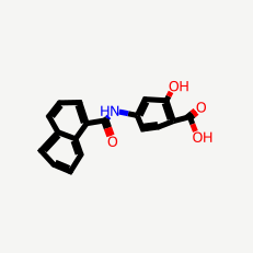 O=C(O)c1ccc(NC(=O)c2cccc3ccccc23)cc1O